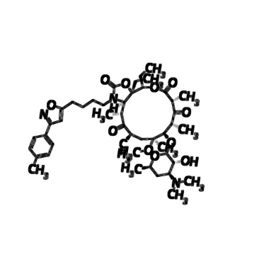 CC[C@H]1OC(=O)[C@H](C)C(=O)[C@H](C)[C@@H](OC2O[C@H](C)C[C@H](N(C)C)[C@H]2O)[C@@](C)(OC)C[C@@H](C)C(=O)[C@H](C)[C@H]2N(CCCCc3cc(-c4ccc(C)cc4)no3)C(=O)O[C@]12CC